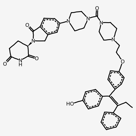 CC/C(=C(/c1ccc(O)cc1)c1ccc(OCCN2CCN(C(=O)N3CCN(c4ccc5c(c4)CN([C@@H]4CCC(=O)NC4=O)C5=O)CC3)CC2)cc1)c1ccccc1